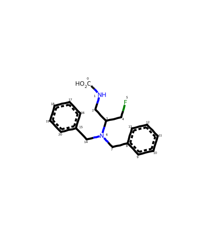 O=C(O)NCC(CF)N(Cc1ccccc1)Cc1ccccc1